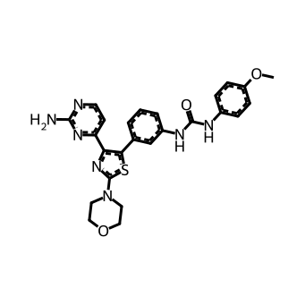 COc1ccc(NC(=O)Nc2cccc(-c3sc(N4CCOCC4)nc3-c3ccnc(N)n3)c2)cc1